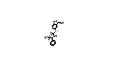 CC(C)(O)C(NC(=O)Nc1cc(C=N)c(N)cn1)c1ccccc1